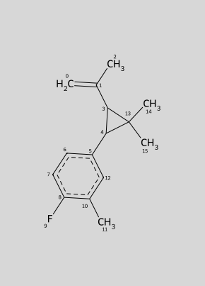 C=C(C)C1C(c2ccc(F)c(C)c2)C1(C)C